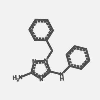 Nc1nc(Nc2ccccc2)n(Cc2ccccc2)n1